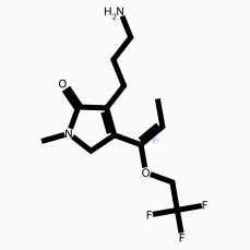 C/C=C(/OCC(F)(F)F)C1=C(CCCN)C(=O)N(C)C1